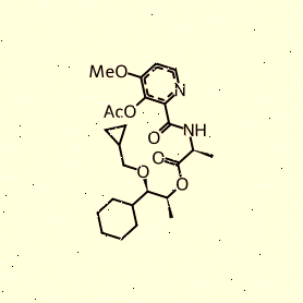 COc1ccnc(C(=O)N[C@@H](C)C(=O)O[C@@H](C)[C@H](OCC2CC2)C2CCCCC2)c1OC(C)=O